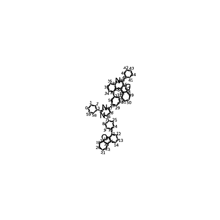 c1ccc(-c2nc(-c3ccc(-c4cccc5c4oc4ccccc45)cc3)cc(-c3cccc(-c4cccc5nc(-c6ccccc6)c6oc7ccccc7c6c45)c3)n2)cc1